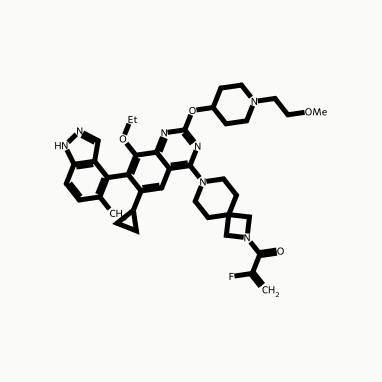 C=C(F)C(=O)N1CC2(CCN(c3nc(OC4CCN(CCOC)CC4)nc4c(OCC)c(-c5c(C)ccc6[nH]ncc56)c(C5CC5)cc34)CC2)C1